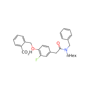 CCCCCCN(Cc1ccccc1)C(=O)Cc1ccc(OCc2ccccc2C(=O)O)c(F)c1